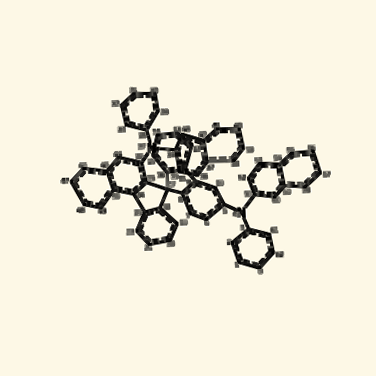 c1ccc(N(c2ccc3c(c2)-c2ccccc2C32c3ccccc3-c3c2c(N(c2ccccc2)c2ccc4ccccc4c2)cc2ccccc32)c2ccc3ccccc3c2)cc1